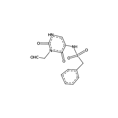 O=[C]Cn1c(=O)[nH]cc(NS(=O)(=O)Cc2ccccc2)c1=O